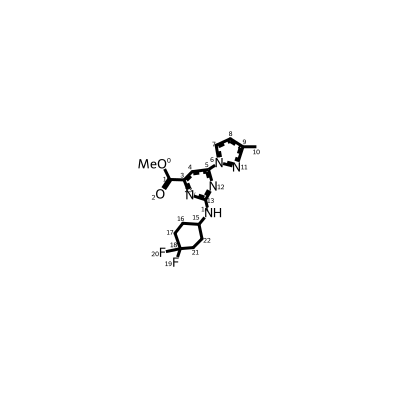 COC(=O)c1cc(-n2ccc(C)n2)nc(NC2CCC(F)(F)CC2)n1